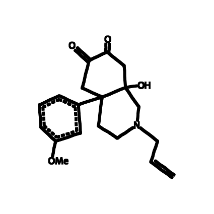 C=CCN1CCC2(c3cccc(OC)c3)CC(=O)C(=O)CC2(O)C1